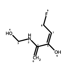 C=C(NCO)/C(O)=C\CF